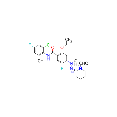 Cc1cc(F)cc(Cl)c1NC(=O)c1cc(F)c(N(C)/N=C2/CCCCN2C=O)cc1OCC(F)(F)F